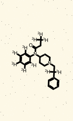 [2H]c1c([2H])c([2H])c(N(C(=O)CC([2H])([2H])[2H])C2CCN(CC([2H])([2H])c3ccccc3)CC2)c([2H])c1[2H]